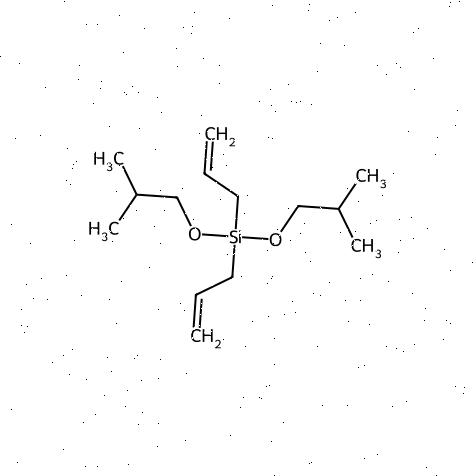 C=CC[Si](CC=C)(OCC(C)C)OCC(C)C